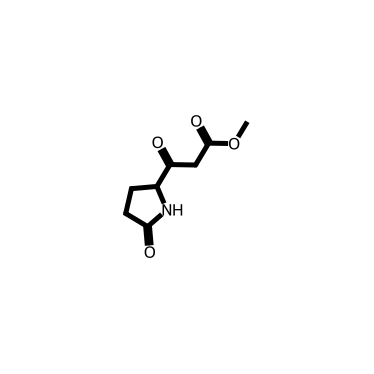 COC(=O)CC(=O)C1CCC(=O)N1